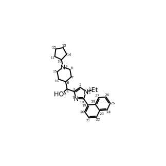 CCn1cc(C(O)C2CCN(C3CCCC3)CC2)nc1-c1cccc2ccccc12